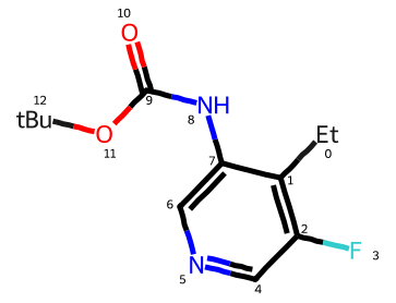 CCc1c(F)cncc1NC(=O)OC(C)(C)C